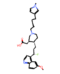 COc1ccc2nccc([C@@H](F)CC[C@@H]3CCN(CCCCc4ccn(C)c4)C[C@@H]3CC(=O)O)c2c1